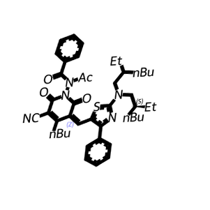 CCCCC1=C(C#N)C(=O)N(N(C(C)=O)C(=O)c2ccccc2)C(=O)/C1=C\c1sc(N(CC(CC)CCCC)C[C@@H](CC)CCCC)nc1-c1ccccc1